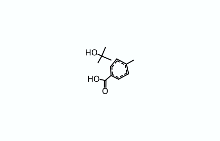 CC(C)(C)O.Cc1ccc(C(=O)O)cc1